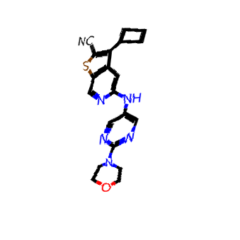 N#Cc1sc2cnc(Nc3cnc(N4CCOCC4)nc3)cc2c1C1CCC1